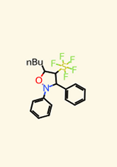 CCCCC1ON(c2ccccc2)C(c2ccccc2)C1S(F)(F)(F)(F)F